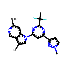 CCc1cn(-c2cc(-c3ccn(C)n3)nc(C(C)(F)F)n2)c2cc(NC(C)=O)ncc12